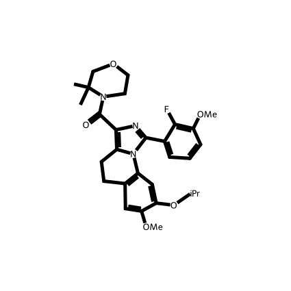 COc1cc2c(cc1OC(C)C)-n1c(-c3cccc(OC)c3F)nc(C(=O)N3CCOCC3(C)C)c1CC2